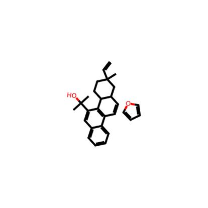 C=CC1(C)CCC2c3c(C(C)(C)O)cc4ccccc4c3C=CC2C1.c1ccoc1